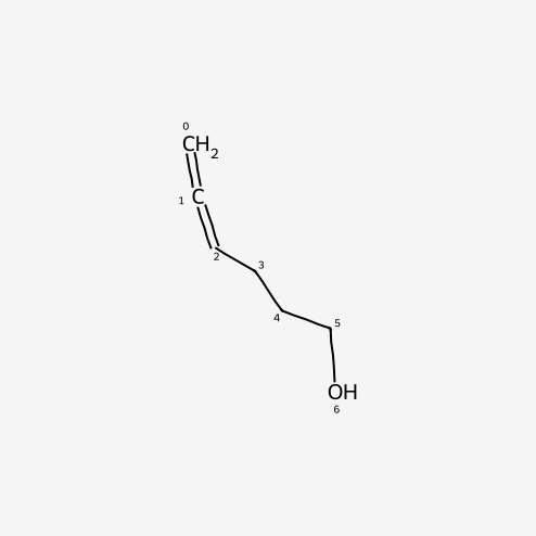 C=C=CCCCO